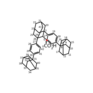 O=C(O)CC1C2(c3ccc(C45CC6CC(CC(C6)C4)C5)cc3)CC3CC(C2)CC1(c1ccc(C24CC5CC(CC(C5)C2)C4)cc1)C3